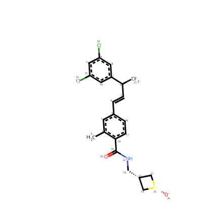 Cc1cc(/C=C/C(c2cc(Cl)cc(Cl)c2)C(F)(F)F)ccc1C(=O)NC[C@H]1C[S@@+]([O-])C1